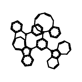 C1=CCc2c3c(n(-c4cc(N5CC/C=C\C=C/Cc6ccccc65)cc(-n5c6c(c7ccccc75)=CC=C5CC=6N(c6ccccc6)c6ccccc65)c4)c2C=C1)CCC=C3